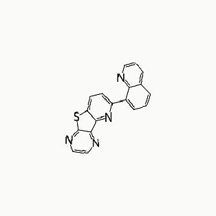 c1cnc2c(-c3ccc4sc5nccnc5c4n3)cccc2c1